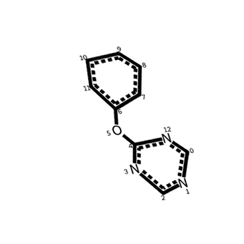 [c]1ncnc(Oc2ccccc2)n1